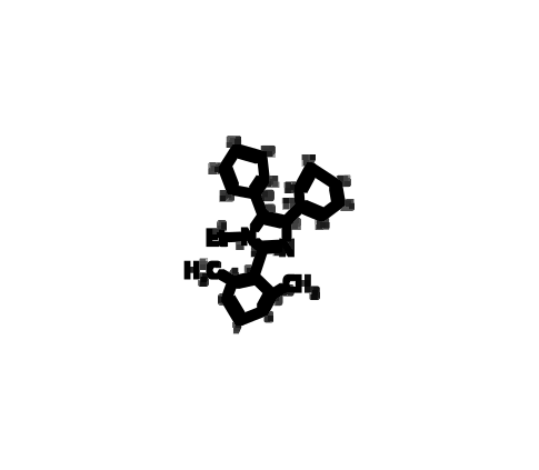 CCn1c(-c2c(C)cccc2C)nc(-c2ccccc2)c1-c1ccccc1